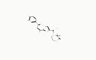 CC(C)(C)c1cc(-c2ccc(F)c(F)c2)nn2cc(C(=O)N3CCNC(=O)C3(C)C)nc12